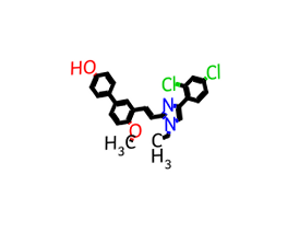 CCn1cc(-c2ccc(Cl)cc2Cl)nc1C=Cc1cc(-c2ccc(O)cc2)ccc1OC